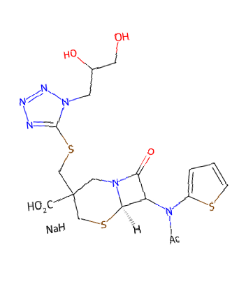 CC(=O)N(c1cccs1)C1C(=O)N2CC(CSc3nnnn3CC(O)CO)(C(=O)O)CS[C@H]12.[NaH]